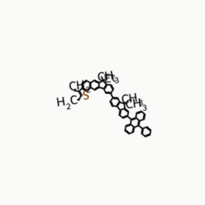 C=Cc1sc2c(ccc3cc4c(cc32)-c2cc(-c3ccc5c(c3)C(C)(C)c3cc(-c6c7ccccc7c(-c7ccccc7)c7ccccc67)ccc3-5)ccc2C4(C)CC)c1C=C